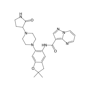 CC1(C)Cc2cc(NC(=O)c3cnn4cccnc34)c(N3CCN(C4CCNC4=O)CC3)cc2O1